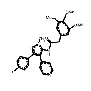 COc1cc(CC(=O)Nc2c(-c3ccncc3)c(-c3ccc(F)cc3)nn2C)cc(OC)c1OC